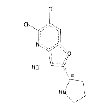 Cl.Clc1cc2oc([C@@H]3CCCN3)cc2nc1Cl